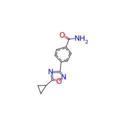 NC(=O)c1ccc(-c2noc(C3CC3)n2)cc1